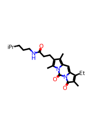 CCC1=C(C)C(=O)n2c1cc1c(C)c(CCC(=O)NCCCC(C)C)c(C)n1c2=O